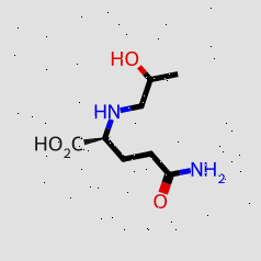 CC(O)CN[C@@H](CCC(N)=O)C(=O)O